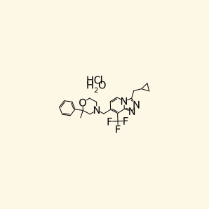 CC1(c2ccccc2)CN(Cc2ccn3c(CC4CC4)nnc3c2C(F)(F)F)CCO1.Cl.O